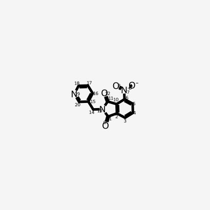 O=C1c2cccc([N+](=O)[O-])c2C(=O)N1Cc1cccnc1